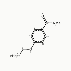 CCCCCCCCOc1ccc(C(=O)NC)cc1